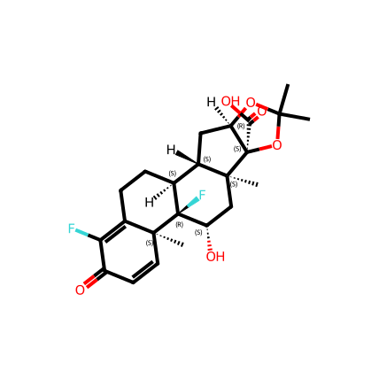 CC1(C)O[C@@H]2C[C@H]3[C@@H]4CCC5=C(F)C(=O)C=C[C@]5(C)[C@@]4(F)[C@@H](O)C[C@]3(C)[C@]2(C(=O)O)O1